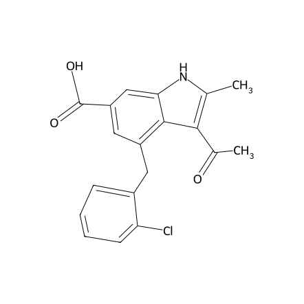 CC(=O)c1c(C)[nH]c2cc(C(=O)O)cc(Cc3ccccc3Cl)c12